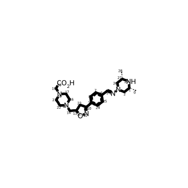 C[C@@H]1CN(N=Cc2ccc(C3=NOC(CN4CCN(CC(=O)O)CC4)C3)cc2)C[C@H](C)N1